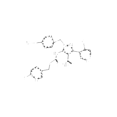 COc1ccc(Cn2nc(-c3cnncc3C)c(C(N)=O)c2NC(=O)CCc2ccc(F)nc2)cc1